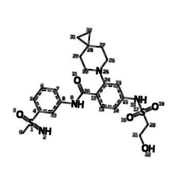 CS(=N)(=O)c1cccc(NC(=O)c2ccc(NS(=O)(=O)CCO)cc2N2CCC3(CC2)CC3)c1